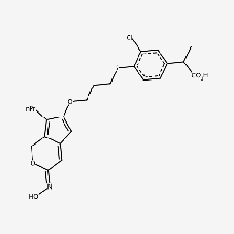 CCCC1=C2COC(=NO)C=C2C=C1OCCCSc1ccc(C(C)C(=O)O)cc1Cl